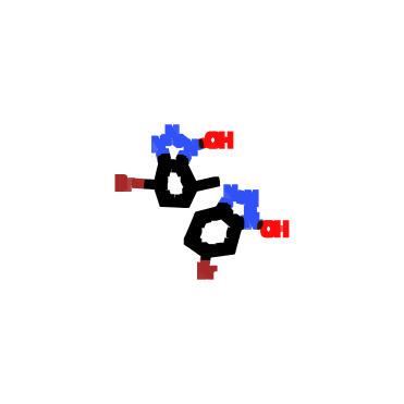 Cc1ccc(Br)c2nnn(O)c12.On1nnc2ccc(Br)cc21